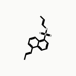 CC=COS(=O)(=O)c1cccc2c(C=CC)cccc12